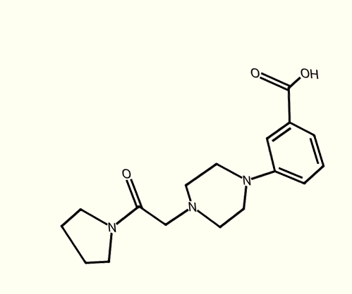 O=C(O)c1cccc(N2CCN(CC(=O)N3CCCC3)CC2)c1